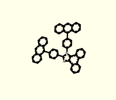 c1ccc2c(-c3ccc(-c4nc5c6ccccc6c6ccccc6c5n4-c4ccc(-c5c6ccccc6cc6ccccc56)cc4)cc3)c3ccccc3cc2c1